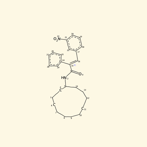 O=C(NC1CCCCCCCCCCC1)/C(=C/c1cccc([N+](=O)[O-])c1)c1ccccc1